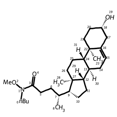 CCCCN(OC)C(=O)CC[C@@H](C)[C@H]1CC[C@H]2[C@@H]3CC=C4C[C@@H](O)CC[C@]4(C)[C@H]3CC[C@]12C